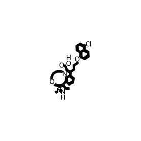 CC1NN(C)C2=C1c1cccc3c(CCCOc4cccc5c(Cl)cccc45)c(C(=O)O)n(c13)CCCCOC2